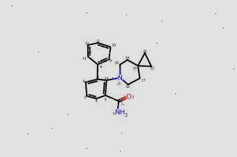 NC(=O)c1cccc(-c2ccccc2)c1N1CCC2(CC1)CC2